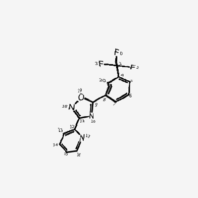 FC(F)(F)c1cccc(-c2nc(-c3ccccn3)no2)c1